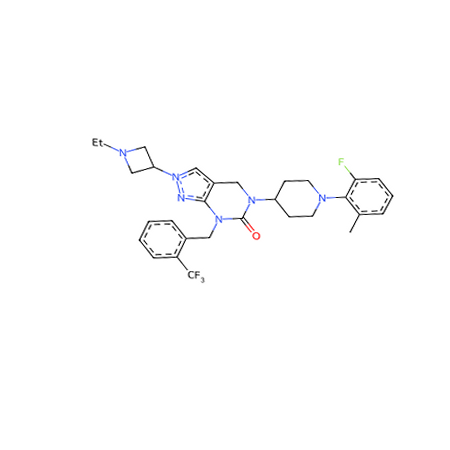 CCN1CC(n2cc3c(n2)N(Cc2ccccc2C(F)(F)F)C(=O)N(C2CCN(c4c(C)cccc4F)CC2)C3)C1